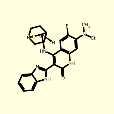 CCN(C)c1cc2[nH]c(=O)c(-c3nc4ccccc4[nH]3)c(N[C@@H]3CN4CCC3CC4)c2cc1F